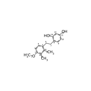 COc1ccc(CCc2ccc(O)cc2O)c(C)c1C